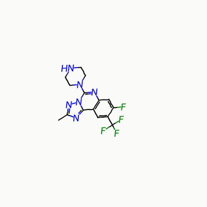 Cc1nc2c3cc(C(F)(F)F)c(F)cc3nc(N3CCNCC3)n2n1